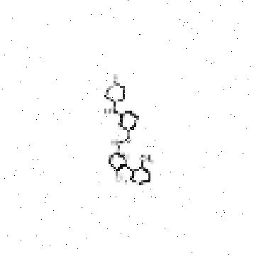 Cc1ccccc1-c1nc(NSc2cccc(NC3CCNCC3)n2)ccc1C(F)(F)F